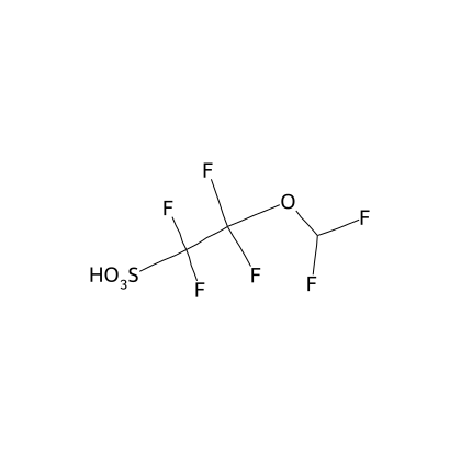 O=S(=O)(O)C(F)(F)C(F)(F)OC(F)F